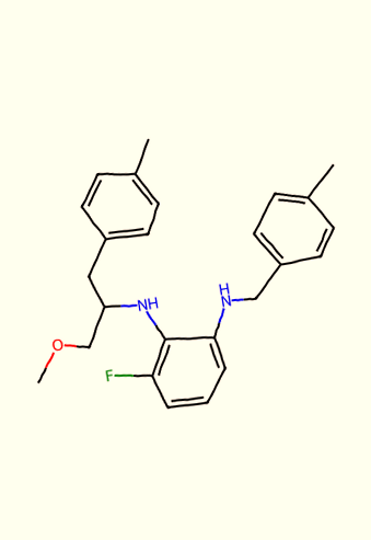 COCC(Cc1ccc(C)cc1)Nc1c(F)cccc1NCc1ccc(C)cc1